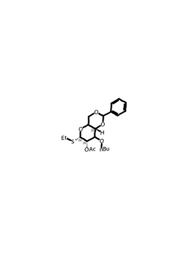 CCCCOC1[C@H]2OC(c3ccccc3)OCC2O[C@@H](SCC)[C@H]1OC(C)=O